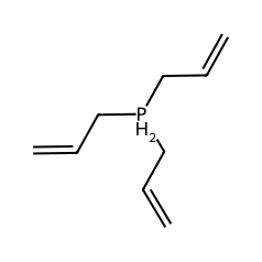 C=CC[PH2](CC=C)CC=C